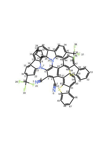 N#Cc1c(C#N)c(-n2c3ccccc3c3ccc(C(F)(F)F)cc32)c(-n2c3ccccc3c3ccc(C(F)(F)F)cc32)c(-c2cccc3c2sc2ccccc23)c1-c1cccc2c1sc1ccccc12